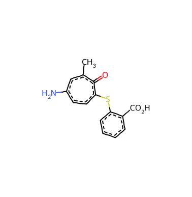 Cc1cc(N)ccc(Sc2ccccc2C(=O)O)c1=O